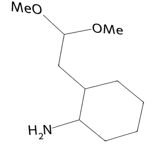 COC(CC1CCCCC1N)OC